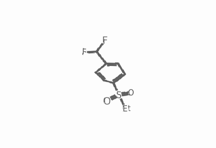 CCS(=O)(=O)c1ccc(C(F)F)cc1